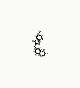 Brc1cnc2nc(Cc3ccc4ncccc4c3)cn2c1